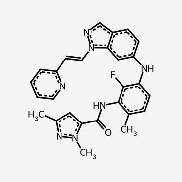 Cc1cc(C(=O)Nc2c(C)ccc(Nc3ccc4cnn(C=Cc5ccccn5)c4c3)c2F)n(C)n1